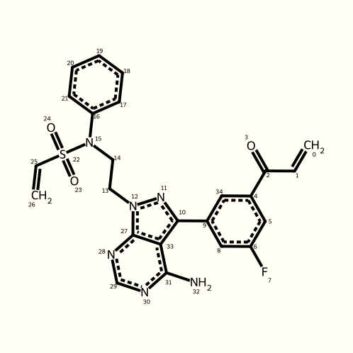 C=CC(=O)c1cc(F)cc(-c2nn(CCN(c3ccccc3)S(=O)(=O)C=C)c3ncnc(N)c23)c1